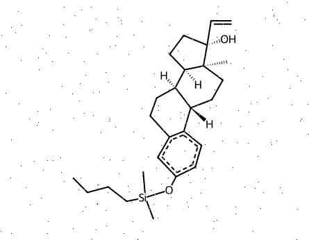 C=C[C@]1(O)CC[C@@H]2[C@@H]3CCc4cc(O[Si](C)(C)CCCC)ccc4[C@H]3CC[C@@]21C